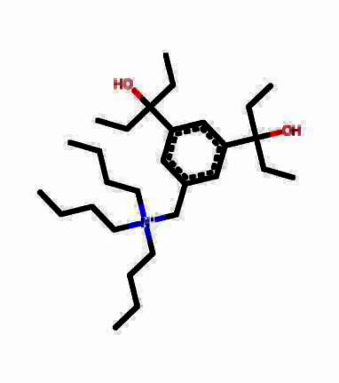 CCCC[N+](CCCC)(CCCC)Cc1cc(C(O)(CC)CC)cc(C(O)(CC)CC)c1